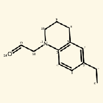 CCc1ccc2c(c1)CCCN2CC=O